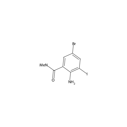 CNC(=O)c1cc(Br)cc(I)c1N